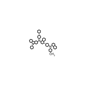 Cc1ccc(N(c2ccc(-c3ccc(N(c4ccc(-c5ccccc5)cc4)c4ccc5c(c4)c4ccccc4n5-c4ccccc4)c4ccccc34)cc2)c2cccc3ccccc23)cc1